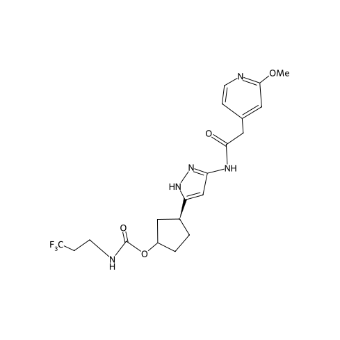 COc1cc(CC(=O)Nc2cc([C@H]3CCC(OC(=O)NCCC(F)(F)F)C3)[nH]n2)ccn1